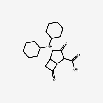 C1CCC(NC2CCCCC2)CC1.O=C(O)C1C(=O)CC2CC(=O)N21